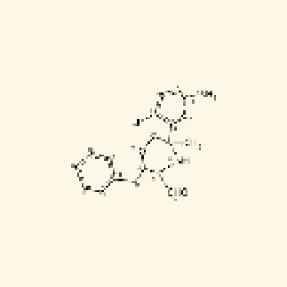 CC1(c2cc(N)ccc2F)COC(Cc2ccccc2)C(C=O)N1